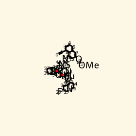 C#Cc1cccc2cc(OCOC)cc(/N=c3\sc4nc(OC[C@@]56CCCN5C[C@H](F)C6)nc(N5CC6CCC(C5)N6C(=O)OC(C)(C)C)c4n3C)c12